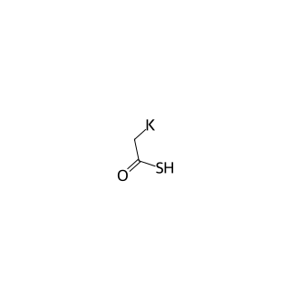 O=C(S)[CH2][K]